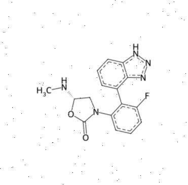 CN[C@@H]1CN(c2cccc(F)c2-c2cccc3[nH]nnc23)C(=O)O1